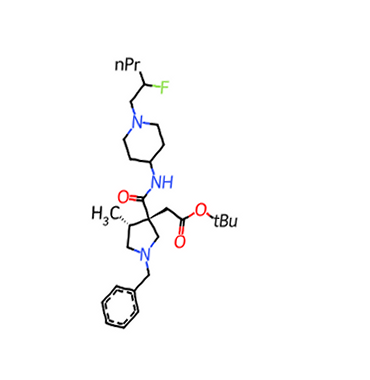 CCCC(F)CN1CCC(NC(=O)[C@]2(CC(=O)OC(C)(C)C)CN(Cc3ccccc3)C[C@@H]2C)CC1